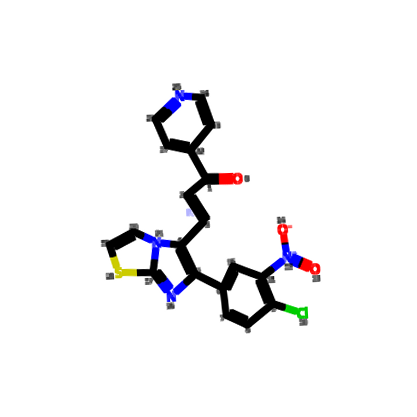 O=C(/C=C/c1c(-c2ccc(Cl)c([N+](=O)[O-])c2)nc2sccn12)c1ccncc1